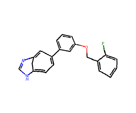 Fc1ccccc1COc1cccc(-c2ccc3[nH]cnc3c2)c1